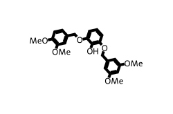 COc1cc(COc2cccc(OCc3ccc(OC)c(OC)c3)c2O)cc(OC)c1